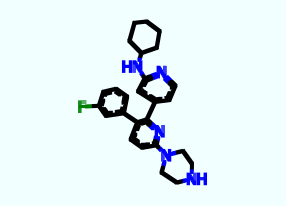 Fc1cccc(-c2ccc(N3CCNCC3)nc2-c2ccnc(NC3CCCCC3)c2)c1